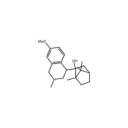 COc1ccc2c(c1)CN(C)CC2C1(O)CC2CCC1(C)C2(C)C